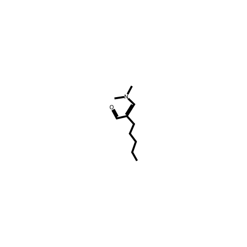 CCCCCC(C=O)=CN(C)C